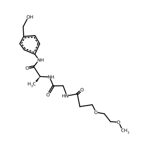 COCCOCCC(=O)NCC(=O)N[C@@H](C)C(=O)Nc1ccc(CO)cc1